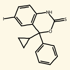 S=C1Nc2ccc(I)cc2C(c2ccccc2)(C2CC2)O1